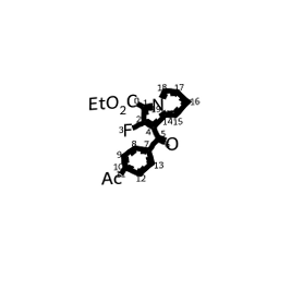 CCOC(=O)c1c(F)c(C(=O)c2ccc(C(C)=O)cc2)c2ccccn12